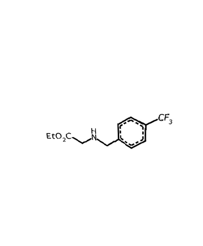 CCOC(=O)CNCc1ccc(C(F)(F)F)cc1